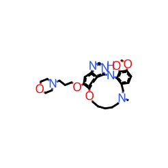 CN1CCCCCOc2cc3c(ncnc3cc2OCCCN2CCOCC2)Nc2c(ccc3c2OCO3)C1